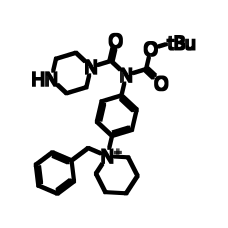 CC(C)(C)OC(=O)N(C(=O)N1CCNCC1)c1ccc([N+]2(Cc3ccccc3)CCCCC2)cc1